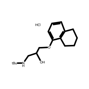 CC(C)(C)NCC(O)COc1cccc2c1CCCC2.Cl